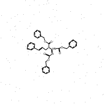 O=C(N=C(NC(=O)OCc1ccccc1)N(CC=Cc1ccccc1)C(=O)OCc1ccccc1)OCc1ccccc1